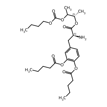 CCCCOC(=O)OC(C)[C@H](C)OC(=O)[C@@H](N)Cc1ccc(OC(=O)CCCC)c(OC(=O)CCCC)c1